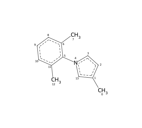 Cc1ccn(-c2c(C)cccc2C)c1